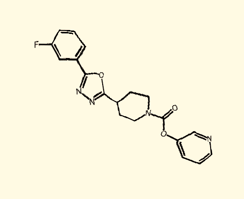 O=C(Oc1cccnc1)N1CCC(c2nnc(-c3cccc(F)c3)o2)CC1